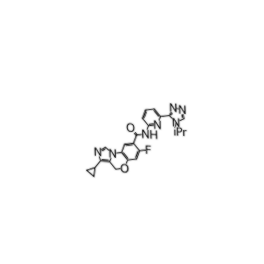 CC(C)n1cnnc1-c1cccc(NC(=O)c2cc3c(cc2F)OCc2c(C4CC4)ncn2-3)n1